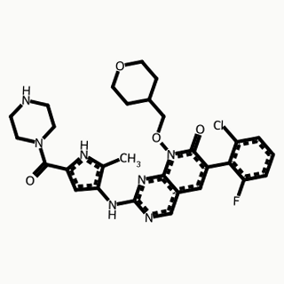 Cc1[nH]c(C(=O)N2CCNCC2)cc1Nc1ncc2cc(-c3c(F)cccc3Cl)c(=O)n(OCC3CCOCC3)c2n1